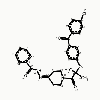 CC(C)(Oc1ccc(C(=O)c2ccc(Cl)cc2)cc1)C(=O)N1CCC(=NNC(=O)c2ccccc2)CC1